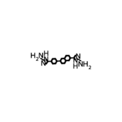 NCc1ncc(-c2ccc(-c3ccc4cc(-c5cnc(CN)[nH]5)ccc4c3)cc2)[nH]1